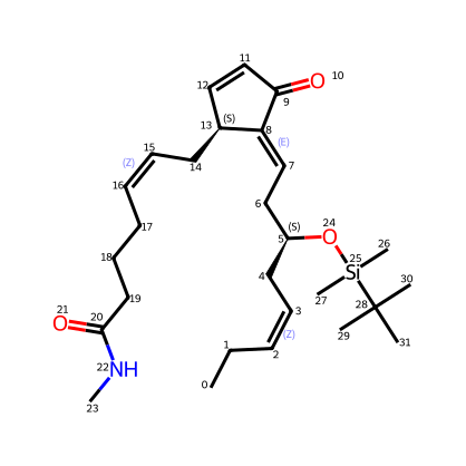 CC/C=C\C[C@@H](C/C=C1/C(=O)C=C[C@@H]1C/C=C\CCCC(=O)NC)O[Si](C)(C)C(C)(C)C